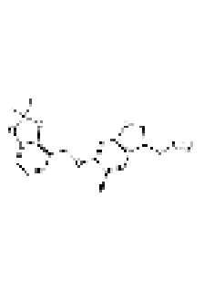 O=C(O)CC1COc2cc(OCc3cccc4c3OC(F)(F)O4)c(F)cc21